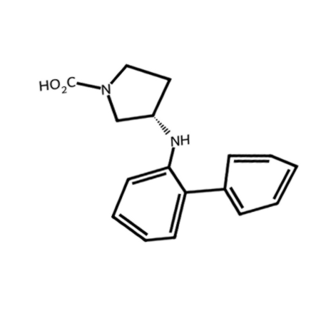 O=C(O)N1CC[C@H](Nc2ccccc2-c2ccccc2)C1